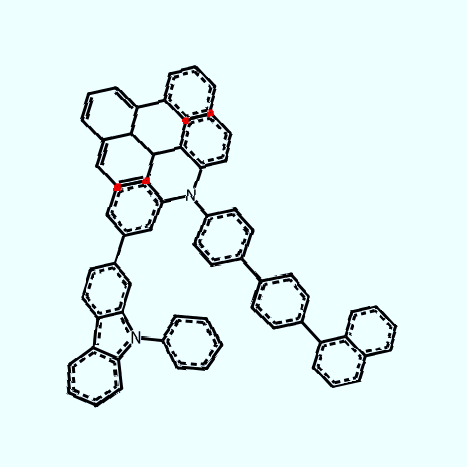 C1=CC2=CC=CC(c3ccccc3N(c3ccc(-c4ccc(-c5cccc6ccccc56)cc4)cc3)c3cccc(-c4ccc5c6ccccc6n(-c6ccccc6)c5c4)c3)C2C(c2ccccc2)=C1